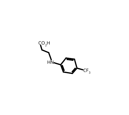 O=C(O)CCNc1ccc(C(F)(F)F)cc1